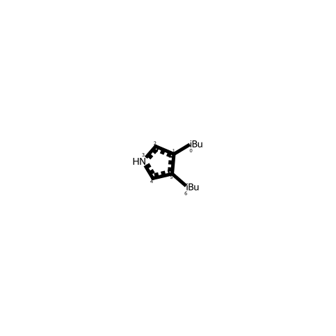 CCC(C)c1c[nH]cc1C(C)CC